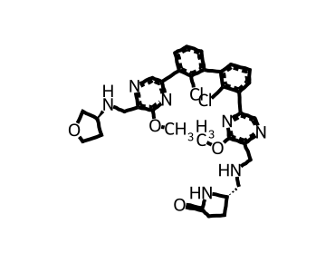 COc1nc(-c2cccc(-c3cccc(-c4cnc(CN[C@H]5CCOC5)c(OC)n4)c3Cl)c2Cl)cnc1CNC[C@@H]1CCC(=O)N1